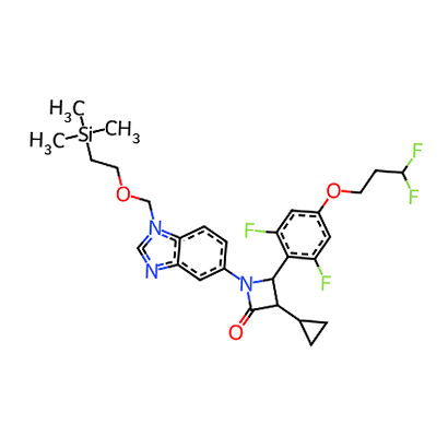 C[Si](C)(C)CCOCn1cnc2cc(N3C(=O)C(C4CC4)C3c3c(F)cc(OCCC(F)F)cc3F)ccc21